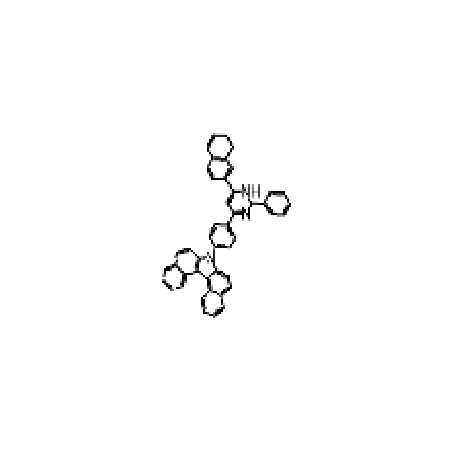 C1=Cc2ccc(C3=CC(c4ccc(-n5c6ccc7ccccc7c6c6c7ccccc7ccc65)cc4)=NC(c4ccccc4)N3)cc2CC1